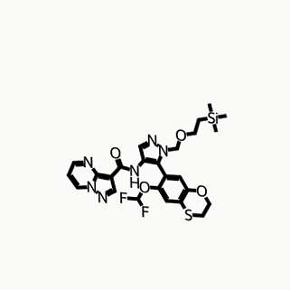 C[Si](C)(C)CCOCn1ncc(NC(=O)c2cnn3cccnc23)c1-c1cc2c(cc1OC(F)F)SCCO2